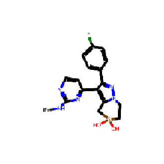 CC(C)Nc1nccc(-c2c(-c3ccc(F)cc3)nn3c2CS(O)(O)CC3)n1